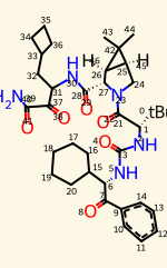 CC(C)(C)[C@H](NC(=O)N[C@H](C(=O)c1ccccc1)C1CCCCC1)C(=O)N1C[C@H]2[C@@H]([C@H]1C(=O)NC(CC1CCC1)C(=O)C(N)=O)C2(C)C